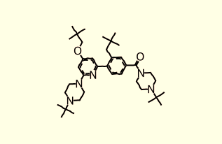 CC(C)(C)COc1cc(-c2ccc(C(=O)N3CCN(C(C)(C)C)CC3)cc2CC(C)(C)C)nc(N2CCN(C(C)(C)C)CC2)c1